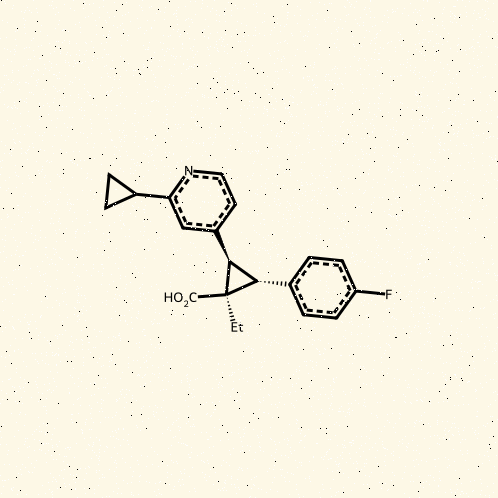 CC[C@@]1(C(=O)O)[C@@H](c2ccc(F)cc2)[C@@H]1c1ccnc(C2CC2)c1